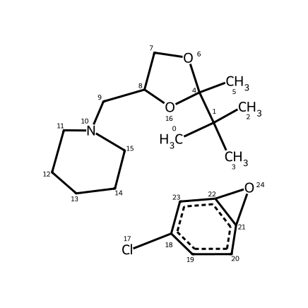 CC(C)(C)C1(C)OCC(CN2CCCCC2)O1.Clc1ccc2c(c1)O2